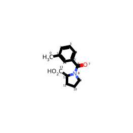 Cc1cccc(C(=O)N2CCCC2C(=O)O)c1